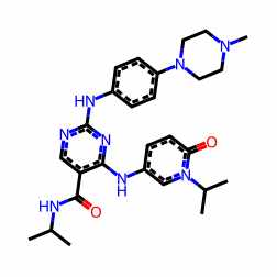 CC(C)NC(=O)c1cnc(Nc2ccc(N3CCN(C)CC3)cc2)nc1Nc1ccc(=O)n(C(C)C)c1